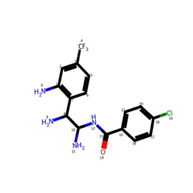 Nc1cc(C(F)(F)F)ccc1C(N)C(N)NC(=O)c1ccc(Cl)cc1